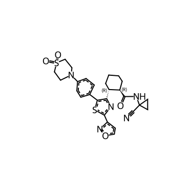 N#CC1(NC(=O)[C@@H]2CCCC[C@H]2c2nc(-c3ccon3)sc2-c2ccc(N3CCS(=O)(=O)CC3)cc2)CC1